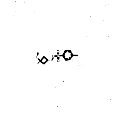 CO[C@]1(C)C[C@H](COS(=O)(=O)c2ccc(C)cc2)C1